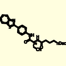 CCCCCCCCCCCCCC(=O)N[C@H](CC#N)C(=O)Nc1ccc(-c2nc3ccccc3s2)cc1